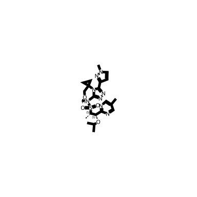 COCC1(n2c(NS(=O)(=O)[C@@H](C)[C@@H](OC(C)C)c3ncc(C)cn3)nnc2-c2ccn(C)n2)CC1